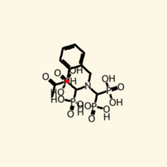 CC(=O)Nc1ccccc1CN(C(P(=O)(O)O)P(=O)(O)O)C(P(=O)(O)O)P(=O)(O)O